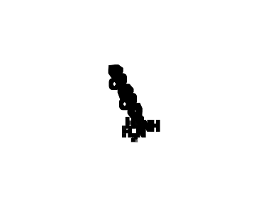 N=C(N)NC[C@H]1CC[C@H](C(=O)Oc2ccc(C(=O)Oc3ccccc3)cc2)CC1